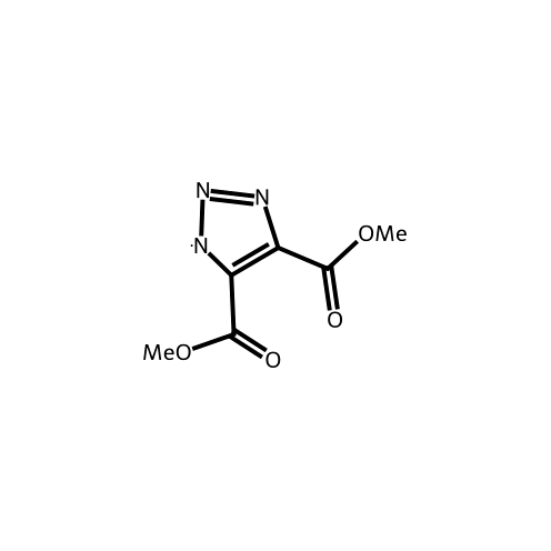 COC(=O)C1=C(C(=O)OC)N=N[N]1